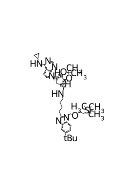 CC1(C)O[C@@H]2[C@@H](CNCCCCc3nc4cc(C(C)(C)C)ccc4n3COCC[Si](C)(C)C)C[C@@H](n3ccc4c(NC5CC5)ncnc43)[C@@H]2O1